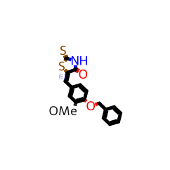 COc1cc(/C=C2/SC(=S)NC2=O)ccc1OCc1ccccc1